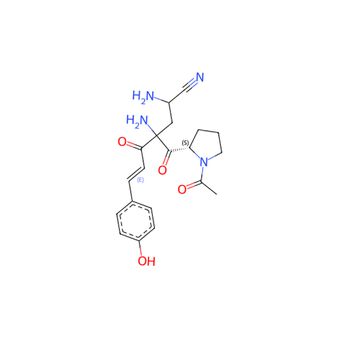 CC(=O)N1CCC[C@H]1C(=O)C(N)(CC(N)C#N)C(=O)/C=C/c1ccc(O)cc1